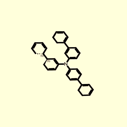 C1=CCCC(c2ccc(N(C3=C[C@H]([C@H]4C=CC=CC4)CC=C3)c3cccc(C4=CC=CCC4)c3)cc2)=C1